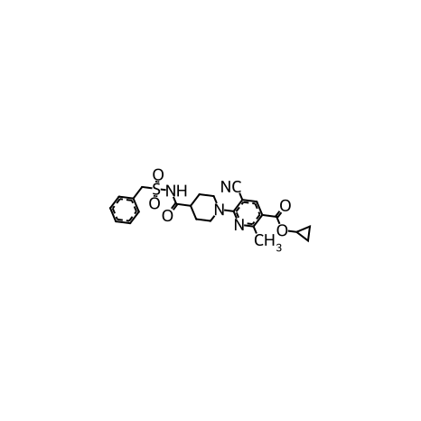 Cc1nc(N2CCC(C(=O)NS(=O)(=O)Cc3ccccc3)CC2)c(C#N)cc1C(=O)OC1CC1